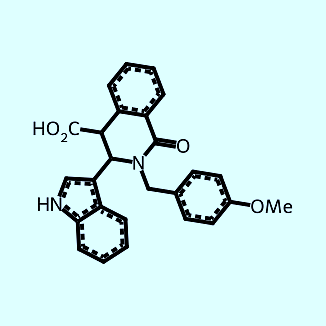 COc1ccc(CN2C(=O)c3ccccc3C(C(=O)O)C2c2c[nH]c3ccccc23)cc1